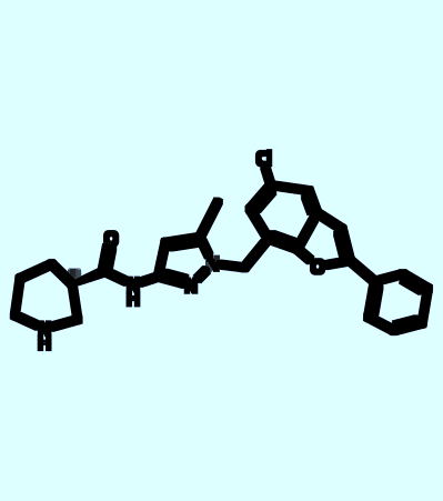 Cc1cc(NC(=O)[C@@H]2CCCNC2)nn1Cc1cc(Cl)cc2cc(-c3ccccc3)oc12